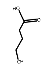 [CH]CCCC(=O)O